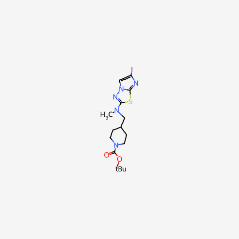 CN(CC1CCN(C(=O)OC(C)(C)C)CC1)c1nn2cc(I)nc2s1